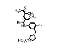 C=C/C(=C\C(C)=C(/C)Cl)[C@@H](CC)Nc1ccc(CC)c(CN2CC[C@@H](C(=O)O)C2)c1